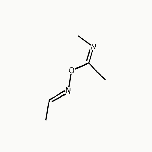 C/C=N/O/C(C)=N\C